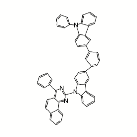 c1ccc(-c2nc(-n3c4ccccc4c4cc(-c5cccc(-c6ccc7c(c6)c6ccccc6n7-c6ccccc6)c5)ccc43)nc3c2ccc2ccccc23)cc1